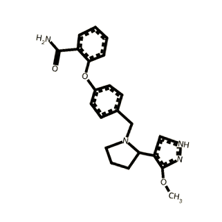 COc1n[nH]cc1C1CCCN1Cc1ccc(Oc2ccccc2C(N)=O)cc1